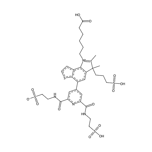 CC1=[N+](CCCCCC(=O)O)c2c(cc(-c3cc(C(=O)NCCS(=O)(=O)[O-])nc(C(=O)NCCS(=O)(=O)O)c3)c3sccc23)C1(C)CCCS(=O)(=O)O